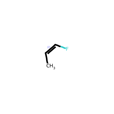 C/C=C\F